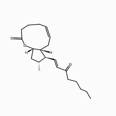 CCCCCC(=O)/C=C/[C@@H]1[C@H]2C/C=C\CCCC(=O)O[C@H]2C[C@H]1C